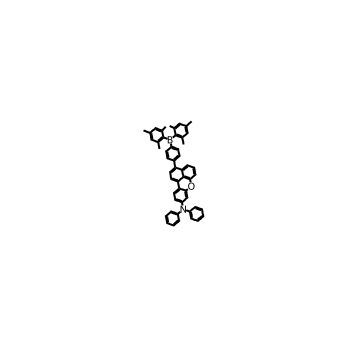 Cc1cc(C)c(B(c2ccc(-c3ccc4c5c(cccc35)Oc3cc(N(c5ccccc5)c5ccccc5)ccc3-4)cc2)c2c(C)cc(C)cc2C)c(C)c1